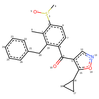 Cc1c([S+](C)[O-])ccc(C(=O)c2cnoc2C2CC2)c1Cc1ccccc1